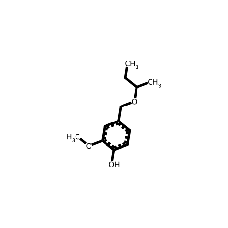 CCC(C)OCc1ccc(O)c(OC)c1